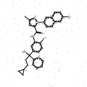 Cc1cc(C(=O)Nc2cc(C(O)(CCC3CC3)c3ccccn3)ccc2F)n(-c2ccc3cc(Cl)ccc3c2)n1